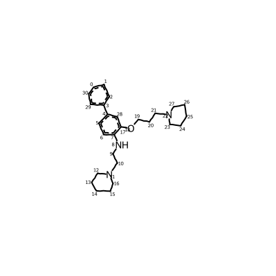 c1ccc(-c2ccc(NCCN3CCCCC3)c(OCCCN3CCCCC3)c2)cc1